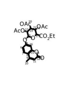 CCOC(=O)C1OC(Oc2ccc3c(C)cc(=O)oc3c2)[C@@H](OC(C)=O)C(OC(C)=O)C1OC(C)=O